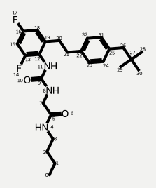 CCCCNC(=O)CNC(=O)Nc1c(F)cc(F)cc1CCc1ccc(CC(C)(C)C)cc1